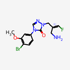 COc1cc(-n2cnn(C/C(=C/F)CN)c2=O)ccc1Br